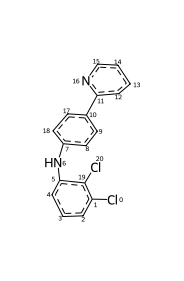 Clc1cccc(Nc2ccc(-c3ccccn3)cc2)c1Cl